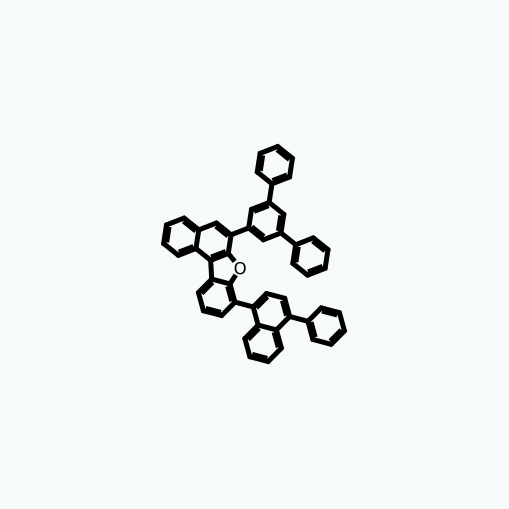 c1ccc(-c2cc(-c3ccccc3)cc(-c3cc4ccccc4c4c3oc3c(-c5ccc(-c6ccccc6)c6ccccc56)cccc34)c2)cc1